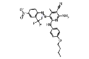 CCCCOc1ccc(Nc2nc(N)c(C#N)c(C)c2/N=N/c2ccc([N+](=O)[O-])cc2C(F)(F)F)cc1